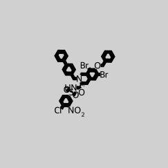 O=C(NS(=O)(=O)c1ccc(Cl)c([N+](=O)[O-])c1)[C@@H]1Cc2cc(Br)c(OCc3ccccc3)c(Br)c2CN1Cc1ccc(-c2ccccc2)cc1